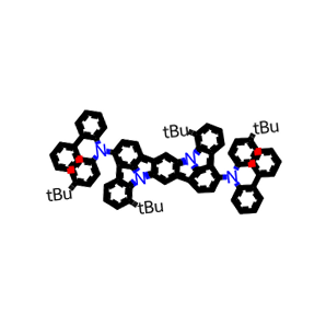 CC(C)(C)c1ccc(N(c2ccccc2-c2ccccc2)c2ccc3c4cc5c(cc4n4c6c(C(C)(C)C)cccc6c2c34)c2ccc(N(c3ccc(C(C)(C)C)cc3)c3ccccc3-c3ccccc3)c3c4cccc(C(C)(C)C)c4n5c23)cc1